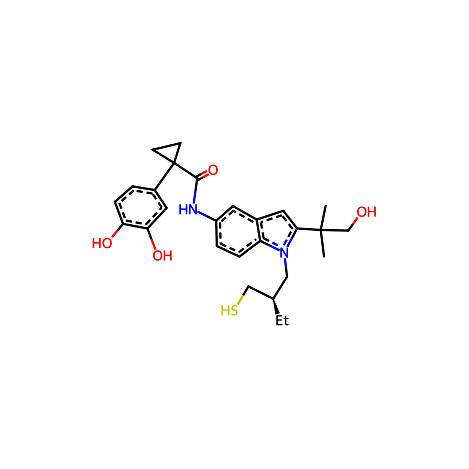 CC[C@@H](CS)Cn1c(C(C)(C)CO)cc2cc(NC(=O)C3(c4ccc(O)c(O)c4)CC3)ccc21